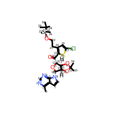 Cc1ncnc2c1ccn2[C@@H]1O[C@H](C(=O)c2sc(Cl)cc2CCO[Si](C)(C)C(C)(C)C)[C@H]2OC(C)(C)O[C@H]21